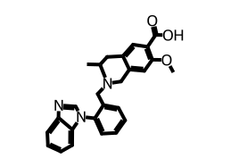 COc1cc2c(cc1C(=O)O)CC(C)N(Cc1ccccc1-n1cnc3ccccc31)C2